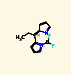 CC/C(=C1\C=CC=N1)c1cccn1B(F)F